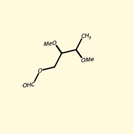 COC(C)C(CO[C]=O)OC